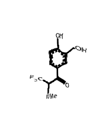 CNC(C(=O)c1ccc(O)c(O)c1)C(F)(F)F